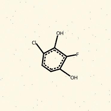 Oc1ccc(Cl)c(O)c1F